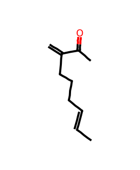 C=C(CCCC=CC)C(C)=O